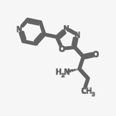 CC[C@H](N)C(=O)c1nnc(-c2ccncc2)o1